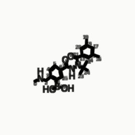 CNCc1ccc(C(=O)NN(C(=O)c2cc(C)cc(C)c2)C(C)(C)C)cc1B(O)O